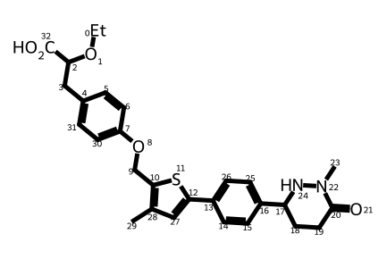 CCOC(Cc1ccc(OCc2sc(-c3ccc(C4CCC(=O)N(C)N4)cc3)cc2C)cc1)C(=O)O